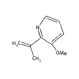 C=C(C)c1ncccc1OC